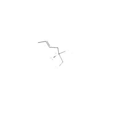 [C-]#[N+][C@](C/C=C/C)(CC(C)=O)C(=O)O